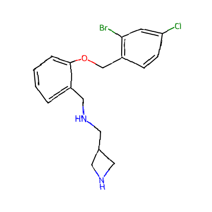 Clc1ccc(COc2ccccc2CNCC2CNC2)c(Br)c1